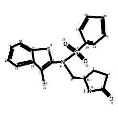 O=C1CC[C@H](CN(c2sc3ccccc3c2Br)S(=O)(=O)c2ccccc2)N1